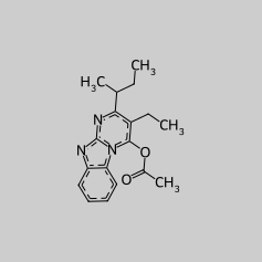 CCc1c(C(C)CC)nc2nc3ccccc3n2c1OC(C)=O